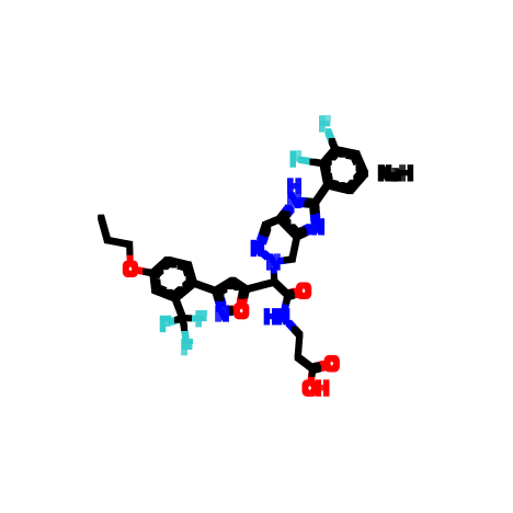 CCCOc1ccc(-c2cc(C(C(=O)NCCC(=O)O)N3Cc4nc(-c5cccc(F)c5F)[nH]c4C=N3)on2)c(C(F)(F)F)c1.[NaH]